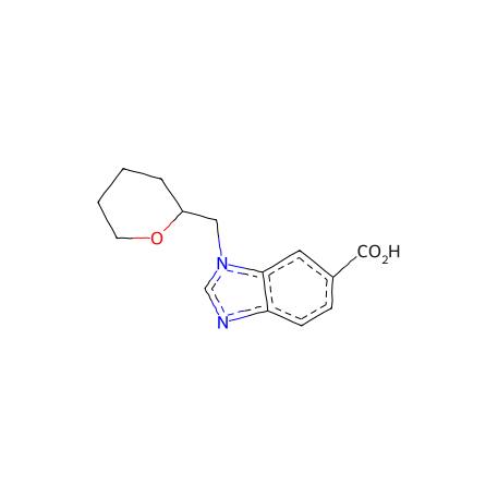 O=C(O)c1ccc2ncn(CC3CCCCO3)c2c1